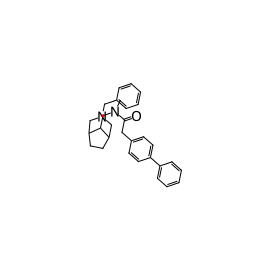 CN(CC1C2CCC1CN(Cc1ccccc1)C2)C(=O)Cc1ccc(-c2ccccc2)cc1